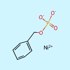 O=P([O-])([O-])OCc1ccccc1.[Ni+2]